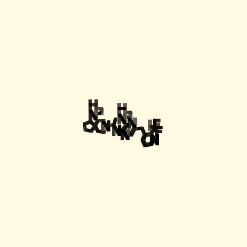 C/C(=N\c1ncc(Cc2cccnc2C(F)(F)I)nc1N)N1CCC2(CCC[C@H]2N)CC1